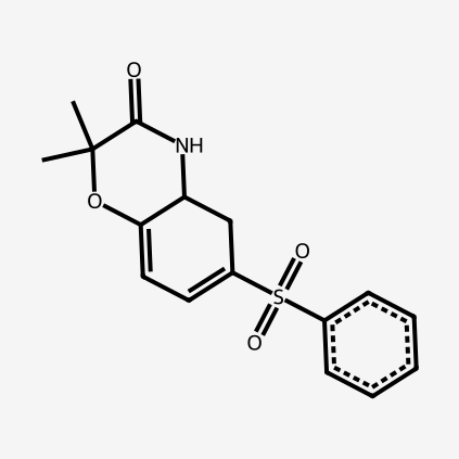 CC1(C)OC2=CC=C(S(=O)(=O)c3ccccc3)CC2NC1=O